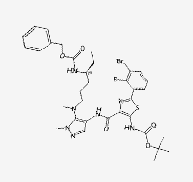 CC[C@@H](CCCN(C)c1c(NC(=O)c2nc(-c3cccc(Br)c3F)sc2NC(=O)OC(C)(C)C)cnn1C)NC(=O)OCc1ccccc1